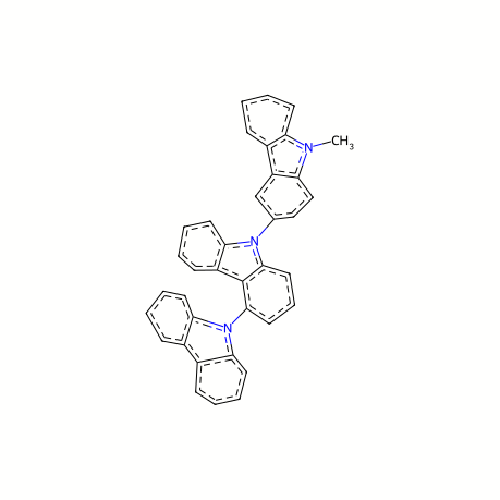 Cn1c2ccccc2c2cc(-n3c4ccccc4c4c(-n5c6ccccc6c6ccccc65)cccc43)ccc21